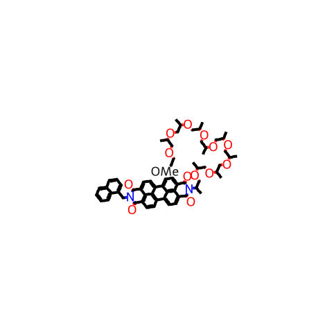 COCCOCC(C)OCC(C)OCC(C)OCC(C)OCC(C)OCC(C)OCC(C)OCC(C)OCC(C)N1C(=O)c2ccc3c4ccc5c6c(ccc(c7ccc(c2c37)C1=O)c64)C(=O)N(Cc1cccc2ccccc12)C5=O